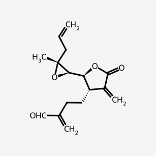 C=CC[C@@]1(C)O[C@@H]1[C@H]1OC(=O)C(=C)[C@@H]1CCC(=C)C=O